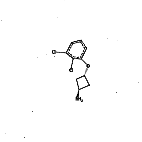 N[C@H]1C[C@H](Oc2cccc(Cl)c2Cl)C1